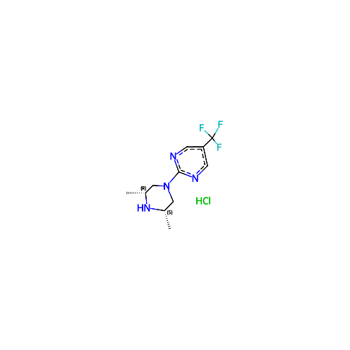 C[C@@H]1CN(c2ncc(C(F)(F)F)cn2)C[C@H](C)N1.Cl